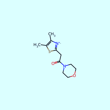 CC1=C(C)SC(CC(=O)N2CCOCC2)=[N+]1